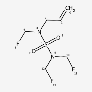 C=CCN(CF)S(=O)(=O)N(CF)CF